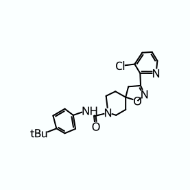 CC(C)(C)c1ccc(NC(=O)N2CCC3(CC2)CC(c2ncccc2Cl)=NO3)cc1